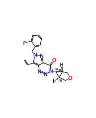 C=Cc1c2nnn([C@@H]3[C@@H]4COC[C@@H]43)c(=O)c2nn1Cc1ccccc1F